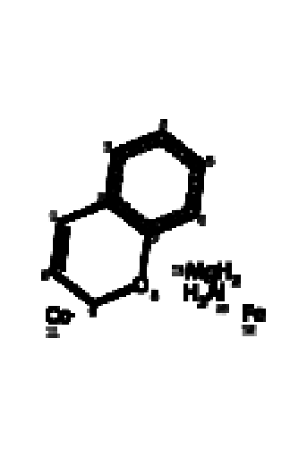 C1=Cc2ccccc2OC1.[AlH3].[Co].[Fe].[MgH2]